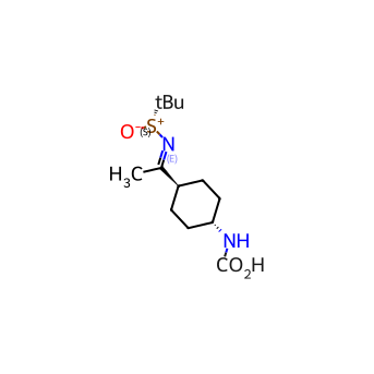 C/C(=N\[S@+]([O-])C(C)(C)C)[C@H]1CC[C@H](NC(=O)O)CC1